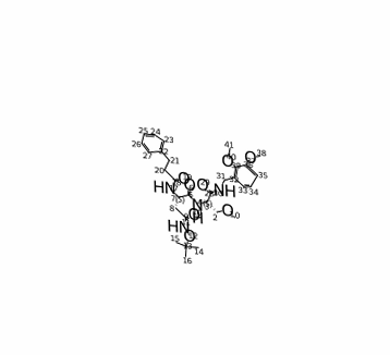 COC[C@H](NC(=O)[C@H](CC(=O)NOC(C)(C)C)NC(=O)CCc1ccccc1)C(=O)NCc1cccc(OC)c1OC